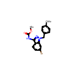 COc1ccc(Cn2nc(NC(=O)OC(C)(C)C)c3ccc(Br)cc32)cc1